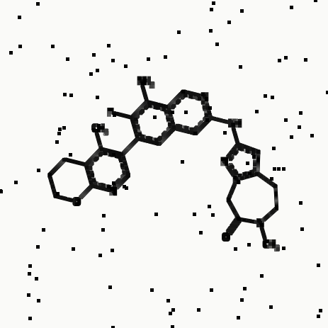 Cc1c(-c2cc3cc(Nc4cc5n(n4)CC(=O)N(C)CC5)ncc3c(N)c2F)cnc2c1CCCO2